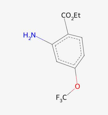 CCOC(=O)c1ccc(OC(F)(F)F)cc1N